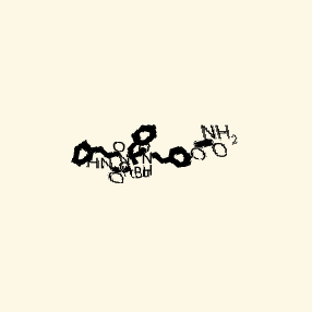 CC(C)(C)OC(=O)NC(Cc1ccccc1)C(=O)NC(C)(Cc1ccccc1)C(=O)NCCc1ccc(OCC(N)=O)cc1